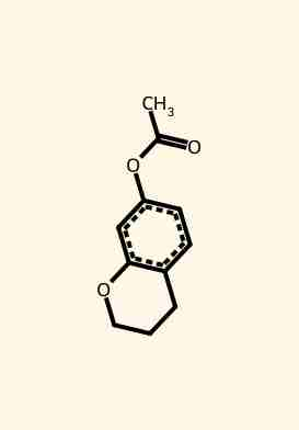 CC(=O)Oc1ccc2c(c1)OCCC2